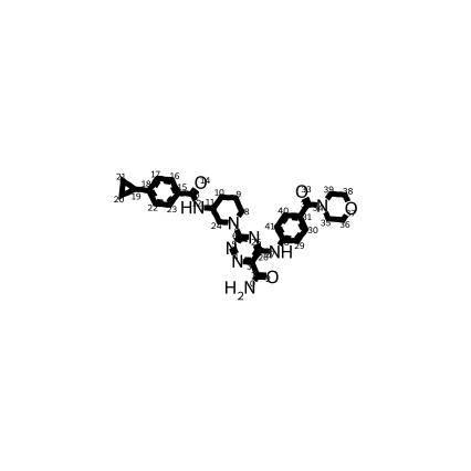 NC(=O)c1nnc(N2CCCC(NC(=O)c3ccc(C4CC4)cc3)C2)nc1Nc1ccc(C(=O)N2CCOCC2)cc1